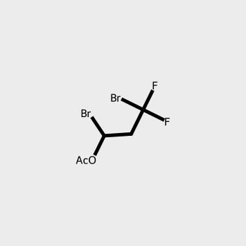 CC(=O)OC(Br)CC(F)(F)Br